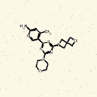 Nc1cc(C(F)(F)F)c(-c2nc(N3CCOCC3)nc(N3CC4(COC4)C3)n2)cn1